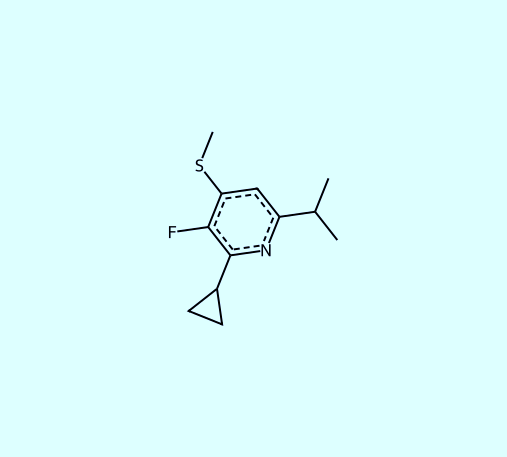 CSc1cc(C(C)C)nc(C2CC2)c1F